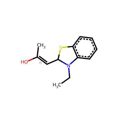 CCN1c2ccccc2SC1/C=C(\C)O